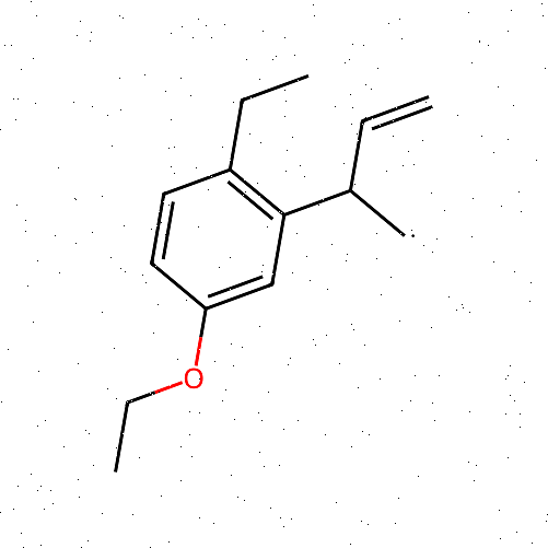 [CH2]C(C=C)c1cc(OCC)ccc1CC